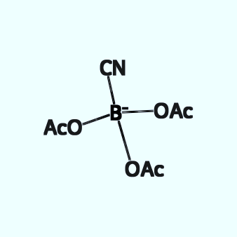 CC(=O)O[B-](C#N)(OC(C)=O)OC(C)=O